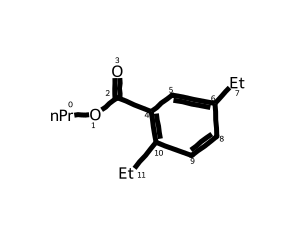 CCCOC(=O)c1cc(CC)ccc1CC